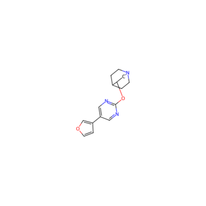 c1cc(-c2cnc(OC3CN4CCC3CC4)nc2)co1